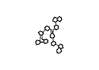 c1cc(-c2ccc(N(c3cccc(-c4cccc(-n5c6ccccc6c6ccccc65)c4)c3)c3cccc(-c4cccc5ccccc45)c3)cc2)cc(-c2cccc3ccccc23)c1